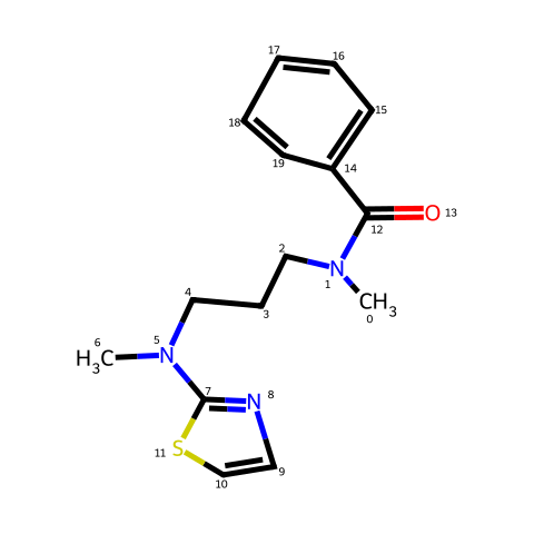 CN(CCCN(C)c1nccs1)C(=O)c1ccccc1